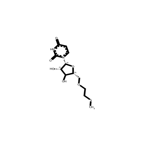 CSCCOC[C@H]1O[C@@H](n2ccc(=O)[nH]c2=O)[C@@H](O)C1O